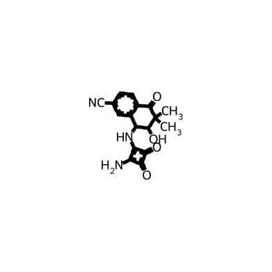 CC1(C)C(=O)c2ccc(C#N)cc2C(Nc2c(N)c(=O)c2=O)C1O